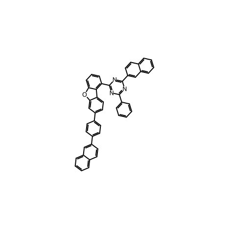 c1ccc(-c2nc(-c3ccc4ccccc4c3)nc(-c3cccc4oc5cc(-c6ccc(-c7ccc8ccccc8c7)cc6)ccc5c34)n2)cc1